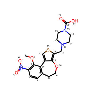 COc1c([N+](=O)[O-])ccc2c1-c1csc(CN3CCN(C(=O)O)CC3)c1OCC2